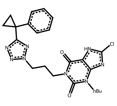 CCCCn1c(=O)n(CCCn2nnc(C3(c4ccccc4)CC3)n2)c(=O)c2[nH]c(Cl)nc21